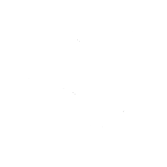 CN(CCCOc1ccc(Cl)cc1C1Sc2ccccc2N(C)C1=O)CCOc1ccc2c(c1)OCO2.O=C(O)/C=C/C(=O)O